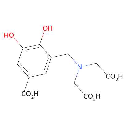 O=C(O)CN(CC(=O)O)Cc1cc(C(=O)O)cc(O)c1O